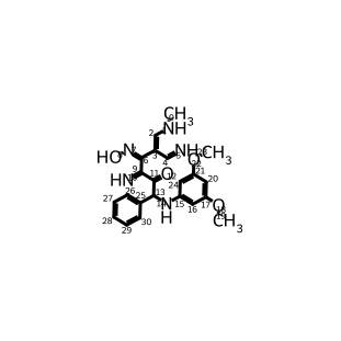 CN/C=C(C=N)/C(=N/O)C(=N)C(=O)C(Nc1cc(OC)cc(OC)c1)c1ccccc1